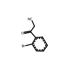 N#CCC(=O)c1ccccc1Br